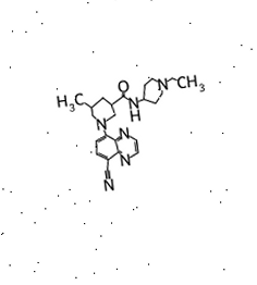 CCN1CCC(NC(=O)C2CC(C)CN(c3ccc(C#N)c4nccnc34)C2)CC1